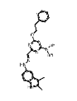 CCCN(CCC)c1nc(/C=N/Nc2ccc3[nH]c(C)c(C)c3c2)nc(OCCc2ccccn2)n1